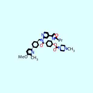 COc1ccc([C@H]2CC[C@H](CN(c3cc(-c4coc(C(C)C)n4)ccn3)C(=O)[C@H]3CC[C@H](OC(=O)N4CCN(C)CC4)CC3)CC2)nc1C